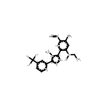 CC[S+]([O-])c1cc(N)c(N=N)nc1-c1nnc(-c2cc(C(F)(F)F)ccn2)n1C